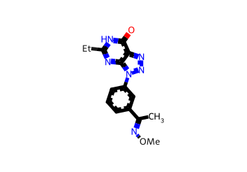 CCc1nc2c(nnn2-c2cccc(/C(C)=N/OC)c2)c(=O)[nH]1